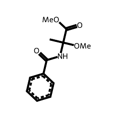 COC(=O)C(C)(NC(=O)c1ccccc1)OC